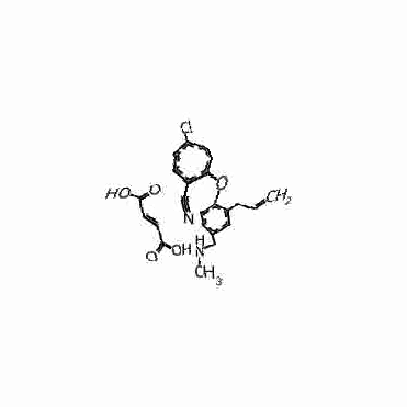 C=CCc1cc(CNC)ccc1Oc1cc(Cl)ccc1C#N.O=C(O)C=CC(=O)O